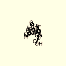 CCN(C(=O)OCCC(=O)O)c1ccc(C(F)(F)F)cc1CN(Cc1cc(C(F)(F)F)cc(C(F)(F)F)c1)c1ncc(N2CCOCC2)cn1